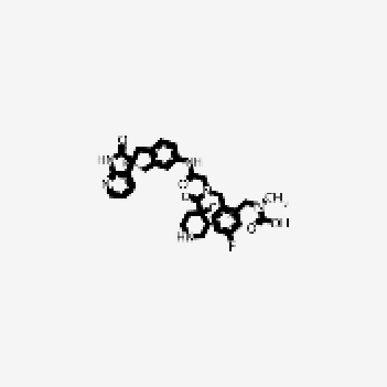 CN(Cc1cc(F)ccc1CN(CC(=O)Nc1ccc2c(c1)C[C@@]1(C2)C(=O)Nc2ncccc21)C(=O)C1(C)CCNCC1)C(=O)O